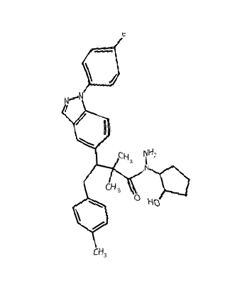 Cc1ccc(CC(c2ccc3c(cnn3-c3ccc(F)cc3)c2)C(C)(C)C(=O)N(N)C2CCCC2O)cc1